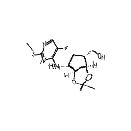 CSc1ncc(I)c(N[C@@H]2C[C@H](CO)[C@H]3OC(C)(C)O[C@H]32)n1